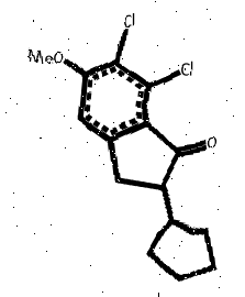 COc1cc2c(c(Cl)c1Cl)C(=O)C(C1CCCC1)C2